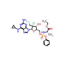 CCOC(=O)[C@H](C)N[P@](=O)(OC[C@H]1O[C@@H](n2cnc3c(NC4CC4)nc(N)nc32)[C@@](Cl)(CF)[C@@H]1O)Oc1ccccc1